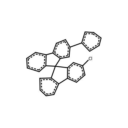 Clc1ccc2c(c1)C1(c3ccccc3-2)c2ccccc2-c2ccc(-c3ccccc3)cc21